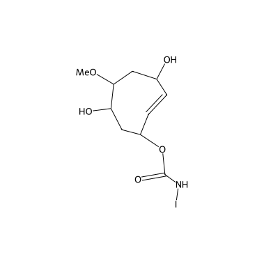 COC1CC(O)/C=C/C(OC(=O)NI)CC1O